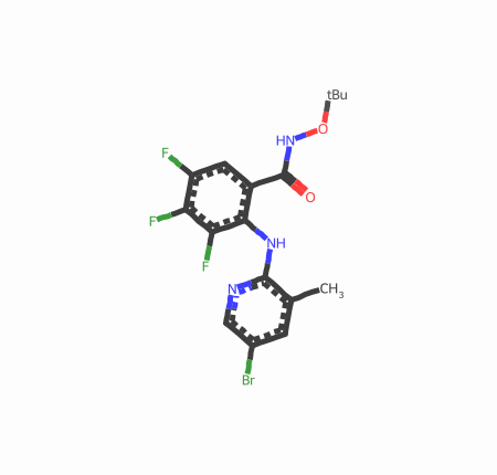 Cc1cc(Br)cnc1Nc1c(C(=O)NOC(C)(C)C)cc(F)c(F)c1F